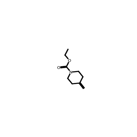 C=C1CCN(C(=O)OCC)CC1